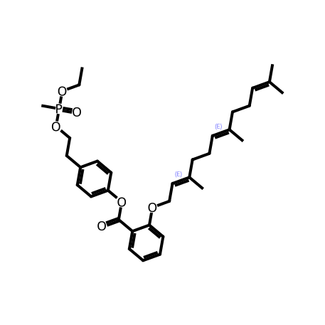 CCOP(C)(=O)OCCc1ccc(OC(=O)c2ccccc2OC/C=C(\C)CC/C=C(\C)CCC=C(C)C)cc1